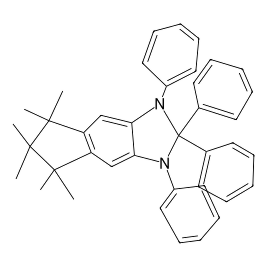 CC1(C)c2cc3c(cc2C(C)(C)C1(C)C)N(c1ccccc1)C(c1ccccc1)(c1ccccc1)N3c1ccccc1